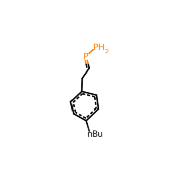 CCCCc1ccc(C/C=P/P)cc1